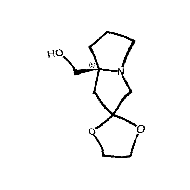 OC[C@@]12CCCN1CC1(C2)OCCO1